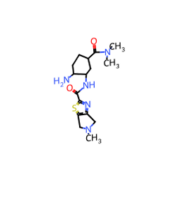 CN1Cc2nc(C(=O)NC3CC(C(=O)N(C)C)CCC3N)sc2C1